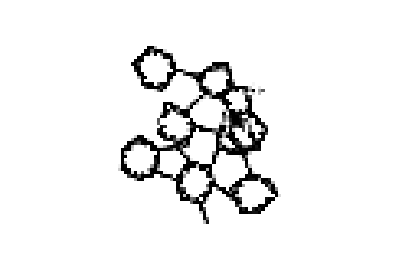 Cc1cc2c(c(-c3c(-c4ccccc4)nnnc3-c3ccccc3-c3c(-c4ccccc4)ccc4[se]c5ccccc5c34)c1C)Cc1ccccc1-2